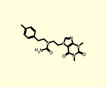 Cc1ccc(CCN(CCn2cnc3c2c(=O)n(C)c(=O)n3C)C(N)=O)cc1